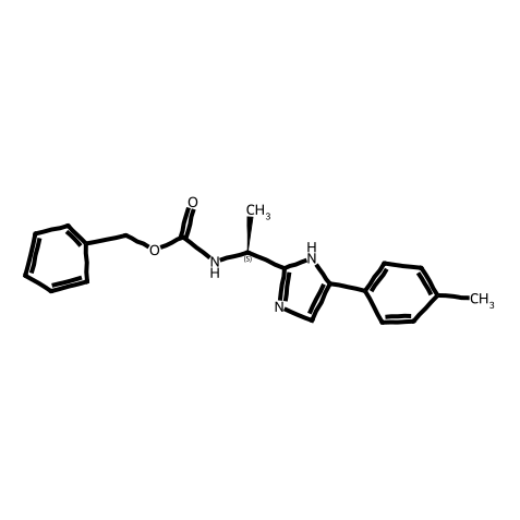 Cc1ccc(-c2cnc([C@H](C)NC(=O)OCc3ccccc3)[nH]2)cc1